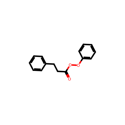 O=C(CCc1ccccc1)OOc1ccccc1